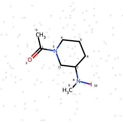 CC(=O)N1CCCC(N(C)I)C1